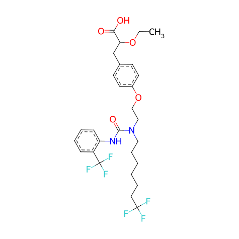 CCOC(Cc1ccc(OCCN(CCCCCCC(F)(F)F)C(=O)Nc2ccccc2C(F)(F)F)cc1)C(=O)O